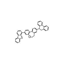 c1ccc2c(c1)CC(c1ccc3c(c1)CCOc1cc(-c4cccc5c4sc4ccccc45)ccc1-3)c1ccccc1-2